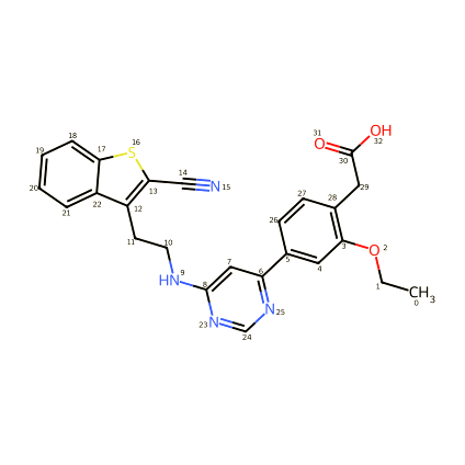 CCOc1cc(-c2cc(NCCc3c(C#N)sc4ccccc34)ncn2)ccc1CC(=O)O